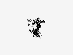 C=CCC(C(=O)O)[C@@H]1NC(=O)[C@@H](CN=[N+]=[N-])N(Cc2ccc(CNS(=O)(=O)c3c(C)cc(OC)c(C)c3C)cc2)C1=O